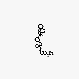 CCOC(=O)/C=C/C(=O)Oc1cccc(-c2cn3c(n2)sc2ccccc23)c1